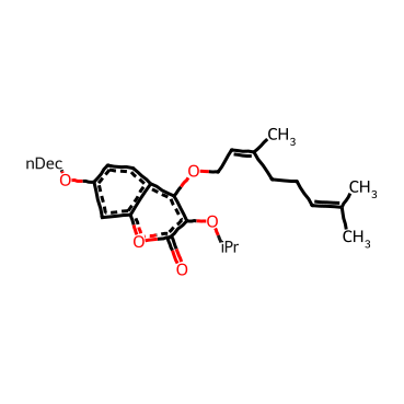 CCCCCCCCCCOc1ccc2c(OCC=C(C)CCC=C(C)C)c(OC(C)C)c(=O)oc2c1